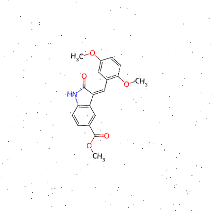 COC(=O)c1ccc2c(c1)/C(=C/c1cc(OC)ccc1OC)C(=O)N2